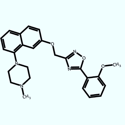 COc1ccccc1-c1nc(COc2ccc3cccc(N4CCN(C)CC4)c3c2)no1